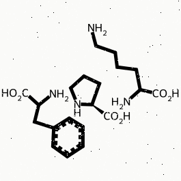 NC(Cc1ccccc1)C(=O)O.NCCCCC(N)C(=O)O.O=C(O)[C@@H]1CCCN1